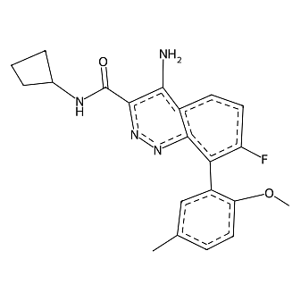 COc1ccc(C)cc1-c1c(F)ccc2c(N)c(C(=O)NC3CCC3)nnc12